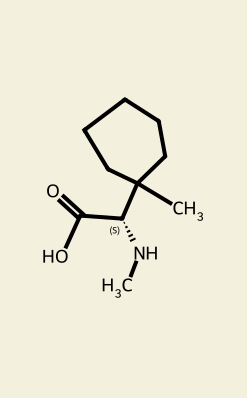 CN[C@H](C(=O)O)C1(C)CCCCC1